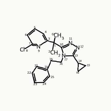 CC(C)(c1cccc(Cl)n1)c1nnc(C2CC2)n1CCc1ccccc1